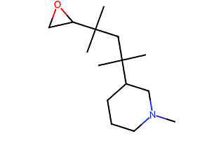 CN1CCCC(C(C)(C)CC(C)(C)C2CO2)C1